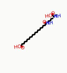 CN[C@@H](CCCCNC(=O)CCCCCCCCCCCCCCCCCCC(=O)O)C(=O)O